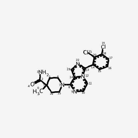 CC1(C(N)=O)CCN(c2nccn3c(-c4cccc(Cl)c4Cl)ncc23)CC1